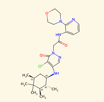 C[C@@H]1[C@@H](C)C(C)(C)[C@@H](C)C[C@H]1Nc1cnn(CC(=O)Nc2cccnc2N2CCOCC2)c(=O)c1Cl